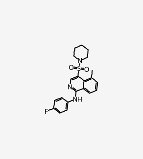 Cc1cccc2c(Nc3ccc(F)cc3)ncc(S(=O)(=O)N3CCCCC3)c12